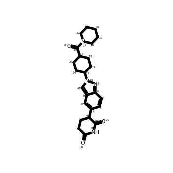 O=C1CCC(c2ccc3nn(C4CCC(C(=O)N5CCCCC5)CC4)cc3c2)C(=O)N1